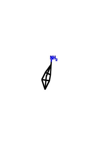 NC12CC3C4C3C1C42